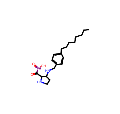 CCCCCCCCc1ccc(CNC2CCNC2C(=O)[PH](=O)O)cc1